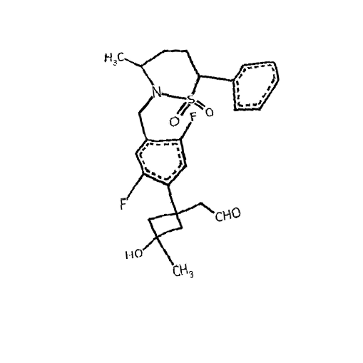 CC1CCC(c2ccccc2)S(=O)(=O)N1Cc1cc(F)c(C2(CC=O)CC(C)(O)C2)cc1F